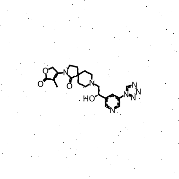 CC1=C(N2CCC3(CCN(C[C@H](O)c4cncc(-n5cnnn5)c4)CC3)C2=O)COC1=O